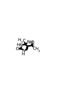 CC(=O)C1=CNC(=O)NC1(C)N